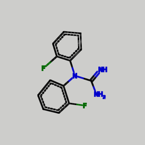 N=C(N)N(c1ccccc1F)c1ccccc1F